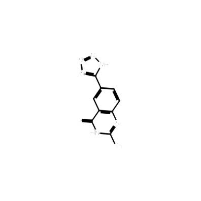 CC(C)c1nc2ccc(-c3nnn[nH]3)cc2c(=O)[nH]1